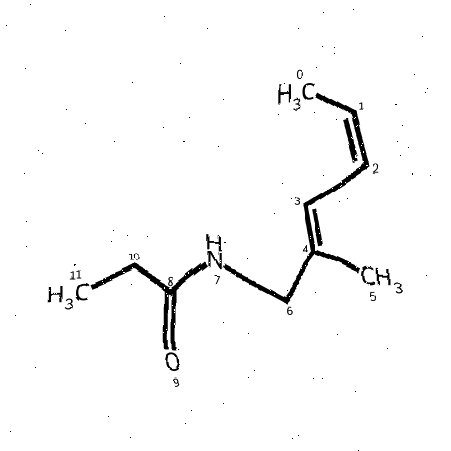 C/C=C\C=C(/C)CNC(=O)CC